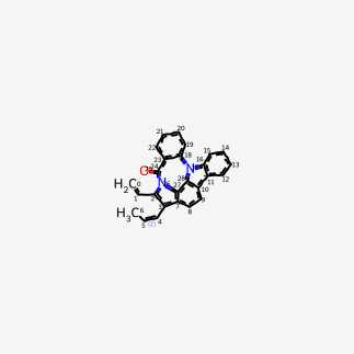 C=Cc1c(/C=C\C)c2ccc3c4ccccc4n4c5ccccc5c(=O)n1c2c34